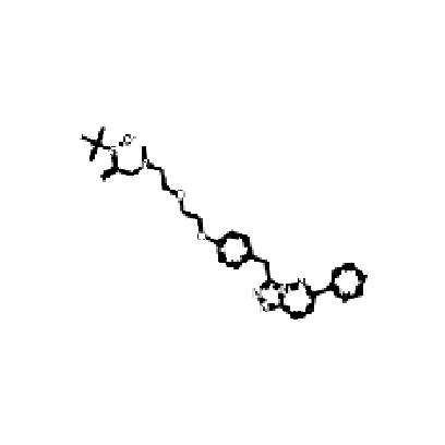 C=C(CN(C)CCOCCOc1ccc(Cc2nnc3ccc(-c4ccccc4)nn23)cc1)[S+]([O-])C(C)(C)C